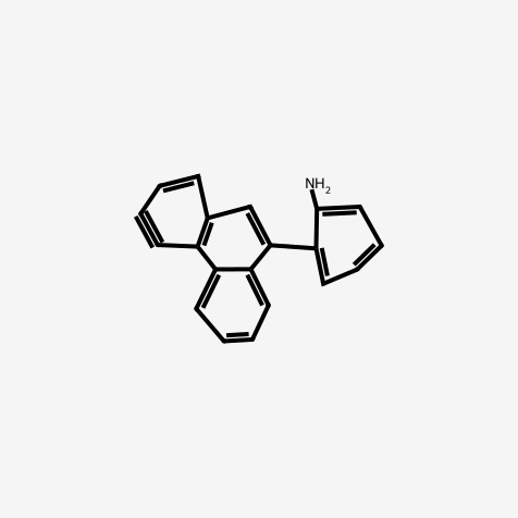 Nc1ccccc1-c1cc2ccc#cc2c2ccccc12